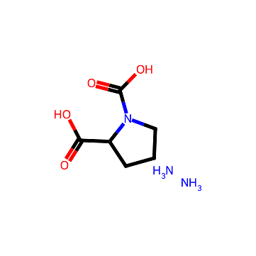 N.N.O=C(O)C1CCCN1C(=O)O